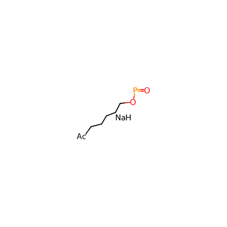 CC(=O)CCCCCOP=O.[NaH]